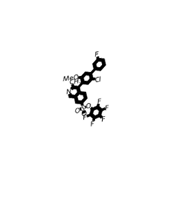 COc1cc(-c2cccc(F)c2)c(Cl)cc1-c1c(C)ncc2cc(S(=O)(=O)Oc3c(F)c(F)c(F)c(F)c3F)ccc12